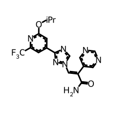 CC(C)Oc1cc(-c2ncn(/C=C(/C(N)=O)c3cncnc3)n2)cc(C(F)(F)F)n1